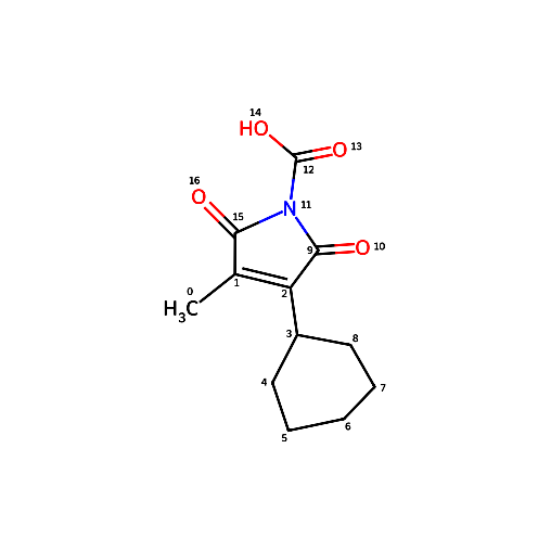 CC1=C(C2CCCCC2)C(=O)N(C(=O)O)C1=O